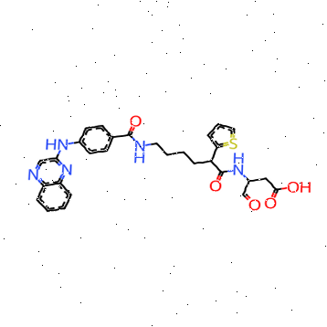 O=CC(CC(=O)O)NC(=O)C(CCCCNC(=O)c1ccc(Nc2cnc3ccccc3n2)cc1)c1cccs1